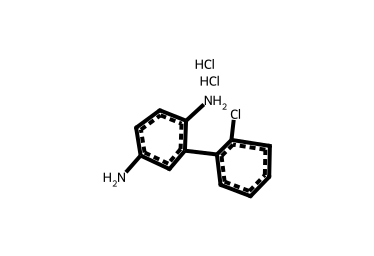 Cl.Cl.Nc1ccc(N)c(-c2ccccc2Cl)c1